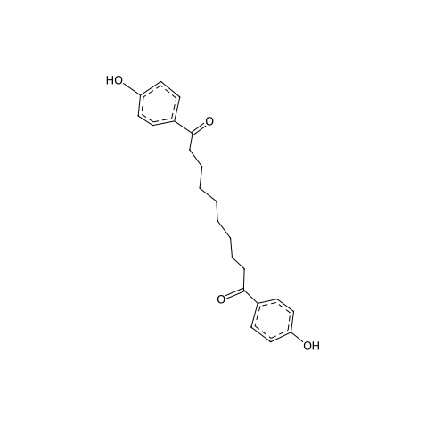 O=C(CCCCCCCCC(=O)c1ccc(O)cc1)c1ccc(O)cc1